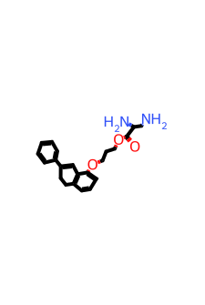 NCC(N)C(=O)OCCCOc1cccc2c1C=C(c1ccccc1)CC2